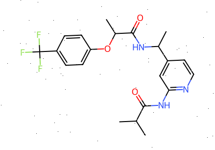 CC(C)C(=O)Nc1cc(C(C)NC(=O)C(C)Oc2ccc(C(F)(F)F)cc2)ccn1